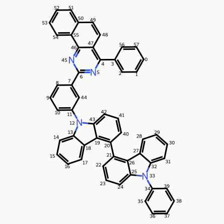 c1ccc(-c2nc(-c3cccc(-n4c5ccccc5c5c(-c6cccc7c6c6ccccc6n7-c6ccccc6)cccc54)c3)nc3c2ccc2ccccc23)cc1